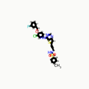 Cc1ccc(S(=O)(=O)NCC#Cc2cc3ncnc(Nc4ccc(OCc5cccc(F)c5)c(Cl)c4)c3s2)cc1